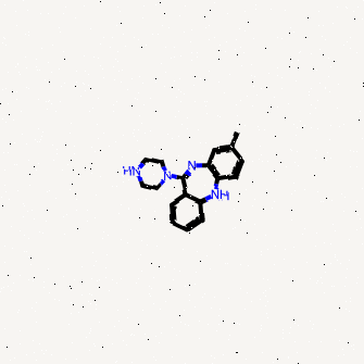 Cc1ccc2c(c1)N=C(N1CCNCC1)C1C=CC=CC1N2